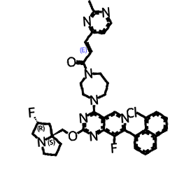 Cc1nccc(/C=C/C(=O)N2CCCN(c3nc(OC[C@@]45CCCN4C[C@H](F)C5)nc4c(F)c(-c5cccc6cccc(Cl)c56)ncc34)CC2)n1